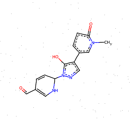 Cn1cc(-c2cnn(C3C=CC(C=O)=CN3)c2O)ccc1=O